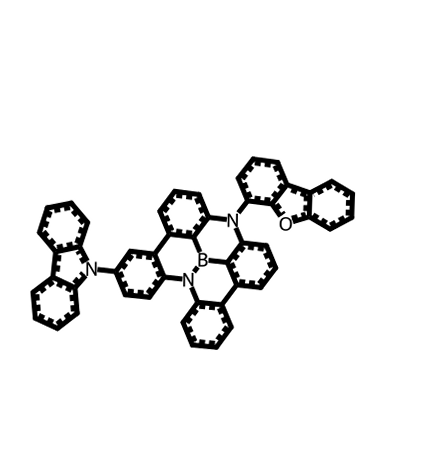 c1ccc2c(c1)-c1cccc3c1B1c4c(cccc4N3c3cccc4c3oc3ccccc34)-c3cc(-n4c5ccccc5c5ccccc54)ccc3N12